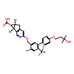 CC(C)(O)CCOc1ccc(-c2cc(COc3cc4c(cn3)[C@H]3[C@@H](C4)[C@@H]3C(=O)O)c(F)cc2C(F)(F)F)cc1